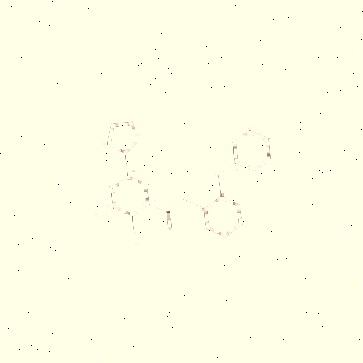 O=C(Nc1ccccc1Cc1ccccc1)c1nc(-c2cccs2)nc(O)c1O